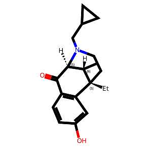 CC[C@@]12CCN(CC3CC3)[C@H](C(=O)c3ccc(O)cc31)[C@@H]2C